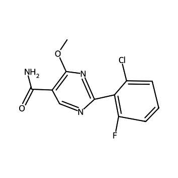 COc1nc(-c2c(F)cccc2Cl)ncc1C(N)=O